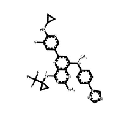 C[C@H](c1ccc(-n2cncn2)cc1)c1cc(-c2cnc(NC3CC3)c(F)c2)nc2c(NC3(C(F)(F)F)CC3)nc(N)nc12